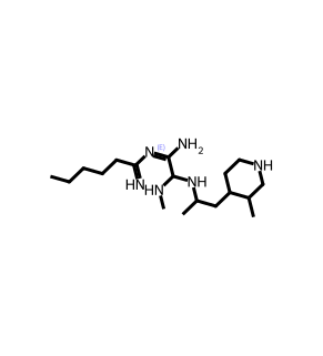 CCCCCC(=N)/N=C(/N)C(NC)NC(C)CC1CCNCC1C